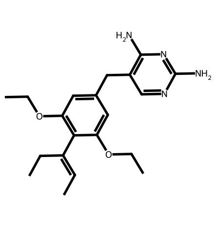 CC=C(CC)c1c(OCC)cc(Cc2cnc(N)nc2N)cc1OCC